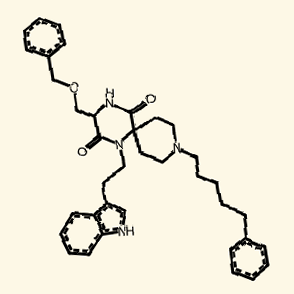 O=C1C(COCc2ccccc2)NC(=O)C2(CCN(CCCCCc3ccccc3)CC2)N1CCc1c[nH]c2ccccc12